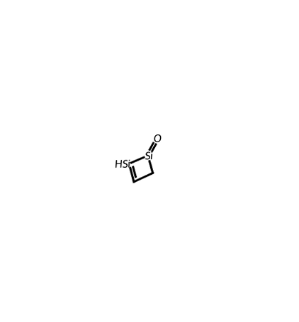 O=[Si]1CC=[SiH]1